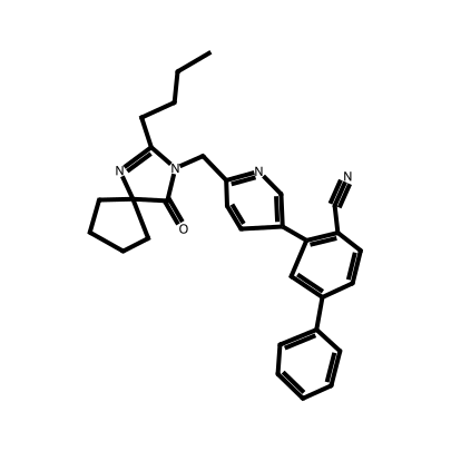 CCCCC1=NC2(CCCC2)C(=O)N1Cc1ccc(-c2cc(-c3ccccc3)ccc2C#N)cn1